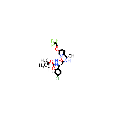 C[C@@H](NC(=O)C[C@@H](NC(=O)OC(C)(C)C)c1ccc(Cl)cc1)c1ccc(OCC(F)(F)F)cn1